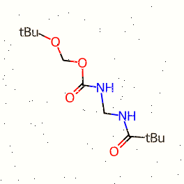 CC(C)(C)OCOC(=O)NCNC(=O)C(C)(C)C